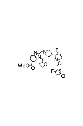 COC(=O)c1ccc2nc(CN3CC=C(c4nc(OCc5sc(Cl)cc5F)ccc4F)CC3)n(C[C@@H]3CCO3)c2c1